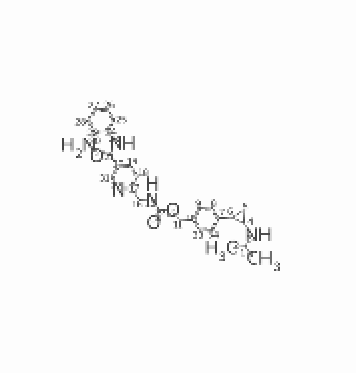 CC(C)N[C@H]1C[C@@H]1c1ccc(COC(=O)NCc2ccc(C(=O)Nc3ccccc3N)cn2)cc1